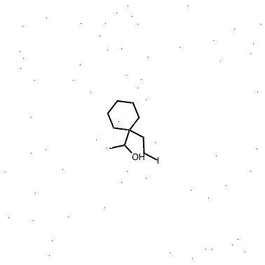 [CH2]C(O)C1(CCI)CCCCC1